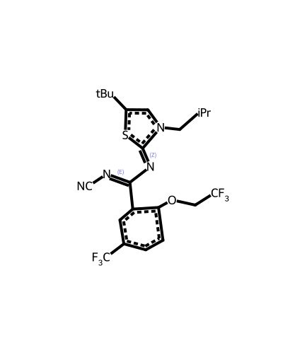 CC(C)Cn1cc(C(C)(C)C)s/c1=N\C(=N\C#N)c1cc(C(F)(F)F)ccc1OCC(F)(F)F